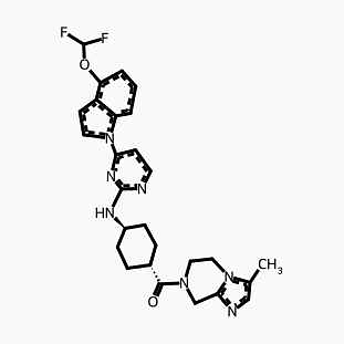 Cc1cnc2n1CCN(C(=O)[C@H]1CC[C@H](Nc3nccc(-n4ccc5c(OC(F)F)cccc54)n3)CC1)C2